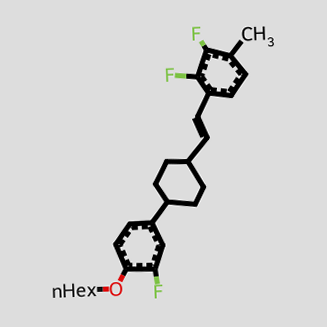 CCCCCCOc1ccc(C2CCC(/C=C/c3ccc(C)c(F)c3F)CC2)cc1F